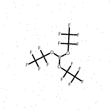 FC(F)(F)C(F)(F)OB(OC(F)(F)C(F)(F)F)OC(F)(F)C(F)(F)F